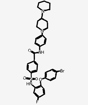 O=C(Nc1ccc(N2CCC(N3CCCCC3)CC2)cc1)c1ccc(S(=O)(=O)Nc2cc(F)ccc2Oc2ccc(Br)cc2)cc1